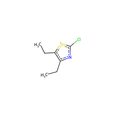 CCc1nc(Cl)sc1CC